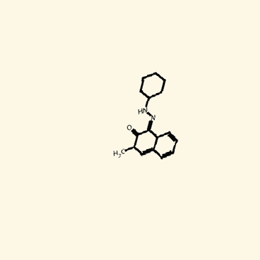 CC1C=C2C=CC=CC2/C(=N/NC2CCCCC2)C1=O